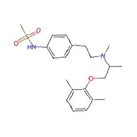 Cc1cccc(C)c1OCC(C)N(C)CCc1ccc(NS(C)(=O)=O)cc1